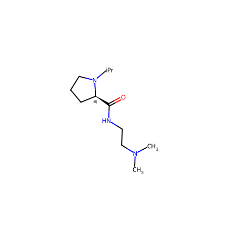 CC(C)N1CCC[C@@H]1C(=O)NCCN(C)C